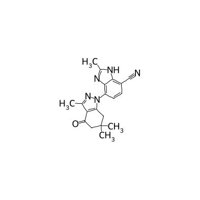 Cc1nc2c(-n3nc(C)c4c3CC(C)(C)CC4=O)ccc(C#N)c2[nH]1